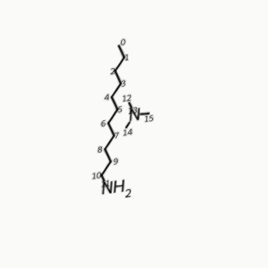 CCCCCCCCCCCN.CN(C)C